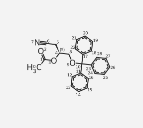 CC(=O)O[C@@H](CC#N)COC(c1ccccc1)(c1ccccc1)c1ccccc1